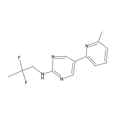 [CH2]c1cccc(-c2cnc(NCC(C)(F)F)nc2)n1